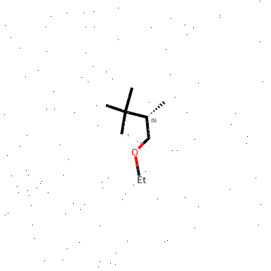 CCOC[C@@H](C)C(C)(C)C